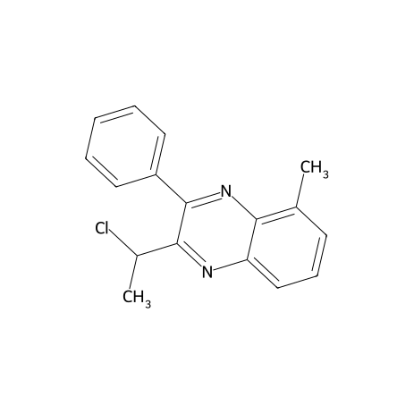 Cc1cccc2nc(C(C)Cl)c(-c3ccccc3)nc12